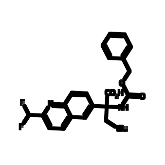 CC(C)(C)CC(NC(=O)OCc1ccccc1)(C(=O)O)c1ccc2nc(C(F)F)ccc2c1